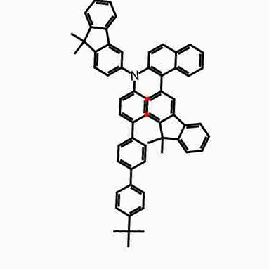 CC(C)(C)c1ccc(-c2ccc(-c3ccc(N(c4ccc5c(c4)-c4ccccc4C5(C)C)c4ccc5ccccc5c4-c4ccc5c(c4)-c4ccccc4C5(C)C)cc3)cc2)cc1